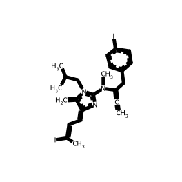 C=C=C(Cc1ccc(I)cc1)N(C)c1n/c(=C/C=C(\C)I)c(=C)n1CC(C)C